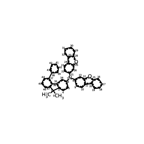 CC1(C)c2ccc(N(c3ccc4c(c3)oc3ccccc34)c3ccc4c(c3)oc3ccccc34)cc2-c2c(-c3ccccc3)cccc21